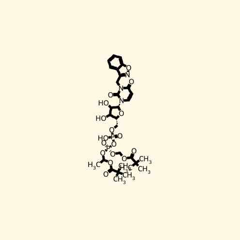 CC(OC(=O)C(C)(C)C)OP(=O)(OCOC(=O)C(C)(C)C)OP(=O)(O)OC[C@H]1O[C@@H](n2ccc(=O)n(Cc3noc4ccccc34)c2=O)C(O)C1O